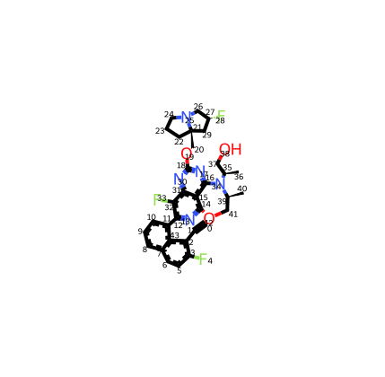 C#Cc1c(F)ccc2cccc(-c3nc4c5c(nc(OC[C@@]67CCCN6C[C@H](F)C7)nc5c3F)N([C@H](C)CO)[C@@H](C)CO4)c12